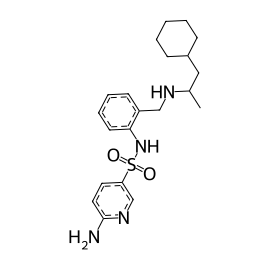 CC(CC1CCCCC1)NCc1ccccc1NS(=O)(=O)c1ccc(N)nc1